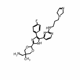 CC1(CN)COC(c2nc(-c3ccc(F)cc3)c(-c3ccnc(NCCCN4CC=NC4)n3)[nH]2)OC1